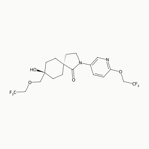 O=C1N(c2ccc(OCC(F)(F)F)nc2)CC[C@]12CC[C@@](O)(COCC(F)(F)F)CC2